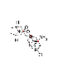 Nc1cc(Cl)cnc1OCC(=O)N1[C@@H]2CC[C@H]1CC(Oc1ccc(F)cc1)C2